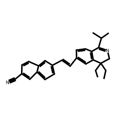 CCC1(CC)CN=C(C(C)C)c2ccc(C=Cc3ccc4cc(C#N)ccc4c3)cc21